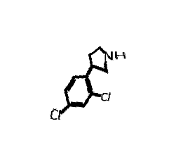 Clc1ccc(C2CCNC2)c(Cl)c1